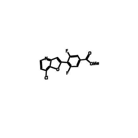 COC(=O)c1cc(F)c(-c2cc3nccc(Cl)c3o2)c(F)c1